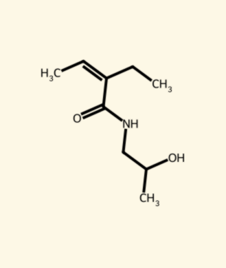 CC=C(CC)C(=O)NCC(C)O